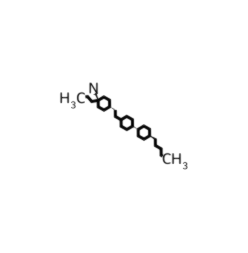 CCCCC[C@H]1CC[C@H](C2CCC(CC[C@H]3CC[C@@](C#N)(CCC)CC3)CC2)CC1